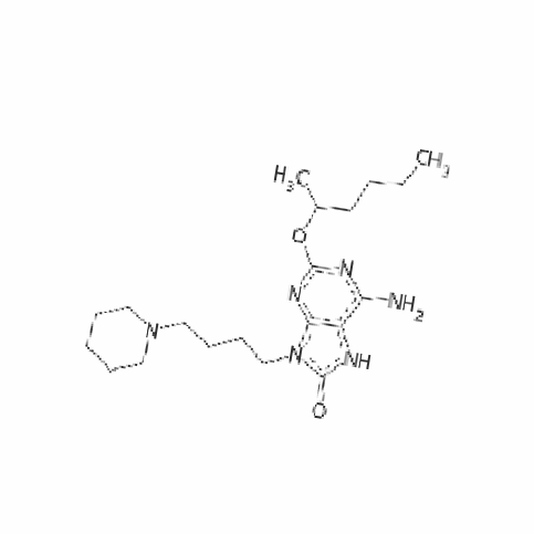 CCCCC(C)Oc1nc(N)c2[nH]c(=O)n(CCCCN3CCCCC3)c2n1